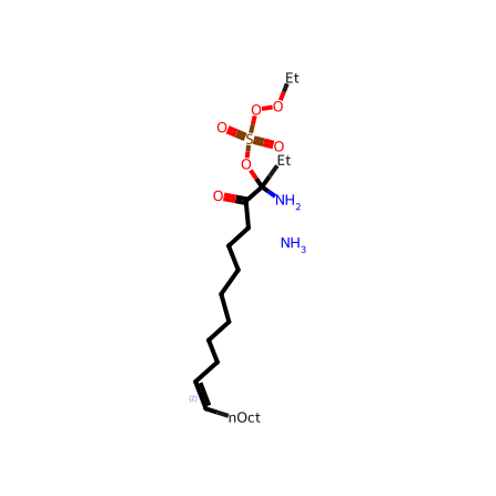 CCCCCCCC/C=C\CCCCCCCC(=O)C(N)(CC)OS(=O)(=O)OOCC.N